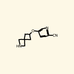 N#Cc1ccc(OC2CC3(CNC3)C2)cn1